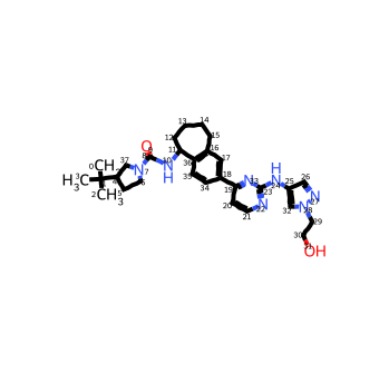 CC(C)(C)C1CCN(C(=O)NC2CCCCc3cc(-c4ccnc(Nc5cnn(CCO)c5)n4)ccc32)C1